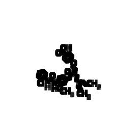 C=CCN(CC=C)CCN(CCOc1ccc(C(=O)O)cc1)C(=O)Cc1ccc(NC(=O)Nc2ccccc2Cl)c(OC)c1